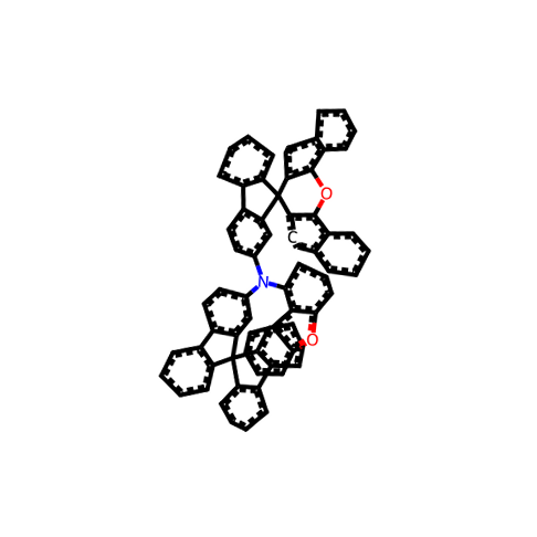 c1ccc2c(c1)-c1ccccc1C21c2ccccc2-c2ccc(N(c3ccc4c(c3)C3(c5ccccc5-4)c4ccc5ccccc5c4Oc4c3ccc3ccccc43)c3cccc4oc5ccccc5c34)cc21